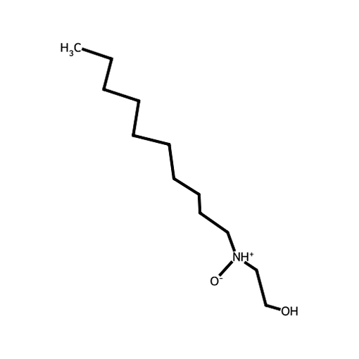 CCCCCCCCCC[NH+]([O-])CCO